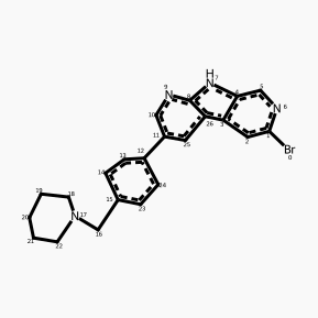 Brc1cc2c(cn1)[nH]c1ncc(-c3ccc(CN4CCCCC4)cc3)cc12